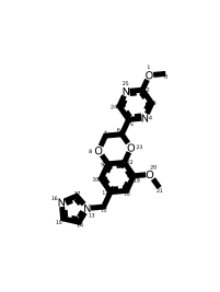 COc1cnc(C2COc3cc(Cn4ccnc4)cc(OC)c3O2)cn1